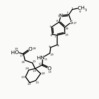 CCc1nc2ccc(CCCNC(=O)C3(CCC(=O)O)CCCCC3)cc2s1